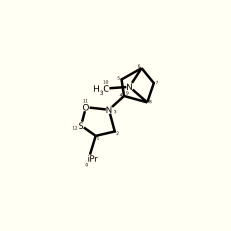 CC(C)C1CN(C2CC3CC2N3C)OS1